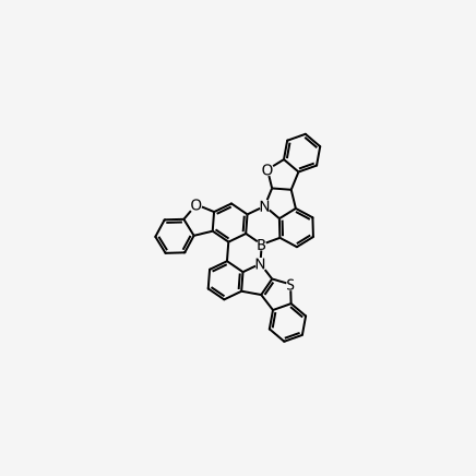 c1ccc2c(c1)OC1C2c2cccc3c2N1c1cc2oc4ccccc4c2c2c1B3n1c3sc4ccccc4c3c3cccc-2c31